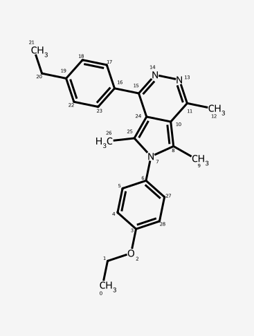 CCOc1ccc(-n2c(C)c3c(C)nnc(-c4ccc(CC)cc4)c3c2C)cc1